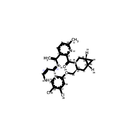 C=C(/N=C\C=C/N)c1ccc(C)nc1C(=O)N1C[C@@H]2C[C@@H]2C[C@H]1COc1cc(Cl)c(Cl)cn1